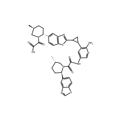 C[C@H]1CC[C@H](c2ccc3sc(C4CC4c4cc(NC(=O)C(=O)N5C[C@@H](C)CC[C@@H]5c5ccc6scnc6c5)cnc4N)nc3c2)N(C(=O)C(=O)O)C1